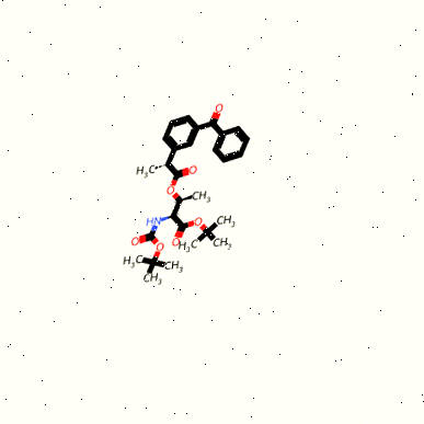 C[C@H](OC(=O)[C@H](C)c1cccc(C(=O)c2ccccc2)c1)[C@H](NC(=O)OC(C)(C)C)C(=O)OC(C)(C)C